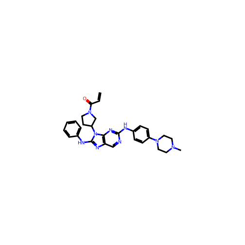 C=CC(=O)N1CCC(n2c(Nc3ccccc3)nc3cnc(Nc4ccc(N5CCN(C)CC5)cc4)nc32)C1